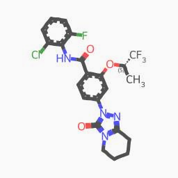 C[C@H](Oc1cc(-n2nc3n(c2=O)CCCC3)ccc1C(=O)Nc1c(F)cccc1Cl)C(F)(F)F